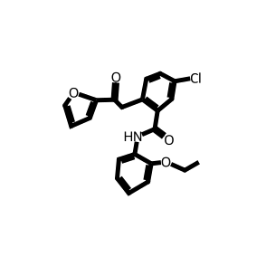 CCOc1ccccc1NC(=O)c1cc(Cl)ccc1CC(=O)c1ccco1